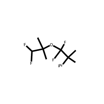 CC(C)C(C)(C)C(F)(F)OC(C)(C)C(F)F